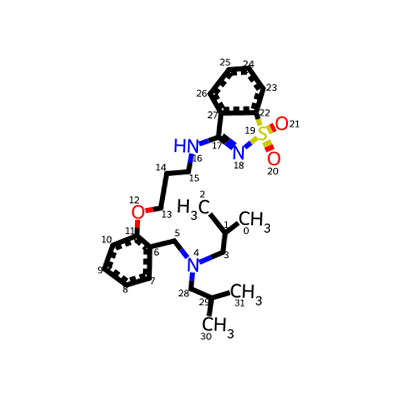 CC(C)CN(Cc1ccccc1OCCCNC1=NS(=O)(=O)c2ccccc21)CC(C)C